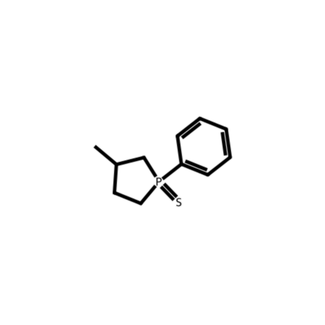 CC1CCP(=S)(c2ccccc2)C1